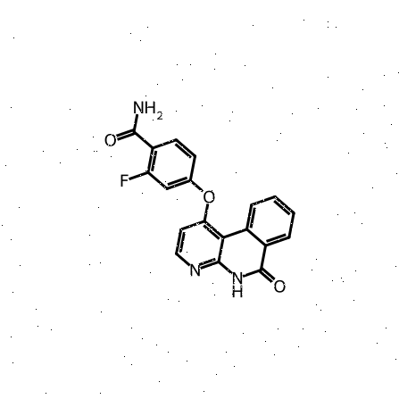 NC(=O)c1ccc(Oc2ccnc3[nH]c(=O)c4ccccc4c23)cc1F